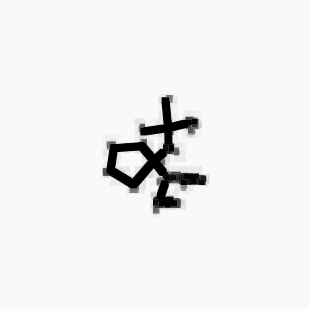 CCC(C)(C)OC1([SiH](OC)OC)CCCC1